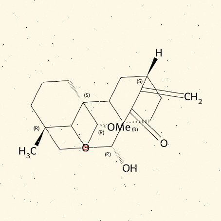 C=C1C(=O)[C@]23CC[C@H]1CC2[C@@]12CCC[C@@](C)(CO[C@H]1OC)C2C[C@H]3O